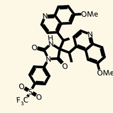 COc1ccc2nccc(C(C)C3(C(C)c4ccnc5ccc(OC)cc45)NC(=O)N(c4ccc(S(=O)(=O)C(F)(F)F)cc4)C3=O)c2c1